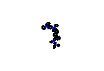 CC1(C)c2c(ccc3cc(N(c4ccccc4)c4ccc5c(c4)c4ccccc4n5-c4ccccc4)ccc23)-c2c1c1ccc(N(c3ccccc3)c3ccc4c(c3)c3ccccc3n4-c3ccccc3)cc1c1ccccc21